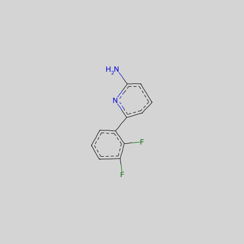 Nc1cccc(-c2cccc(F)c2F)n1